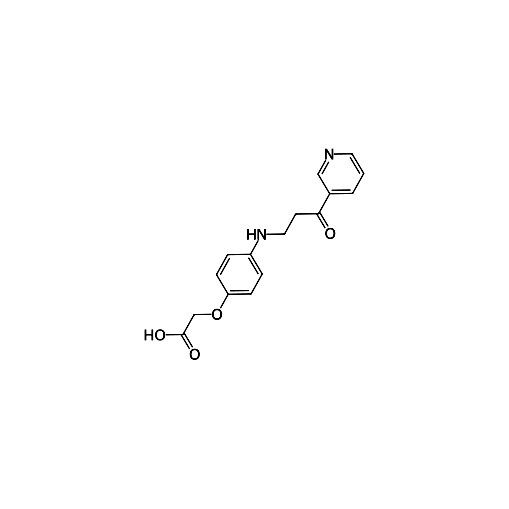 O=C(O)COc1ccc(NCCC(=O)c2cccnc2)cc1